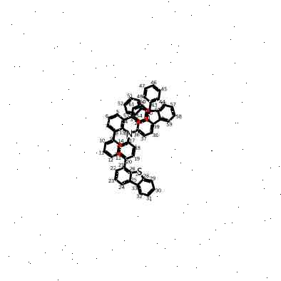 c1ccc(-c2cccc(-c3ccccc3)c2N(c2ccc(-c3cccc4c3sc3ccccc34)cc2)c2ccc3c(c2)C(c2ccccc2)(c2ccccc2)c2ccccc2-3)cc1